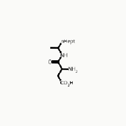 CCCCCCCC(C)NC(=O)C(N)CC(=O)O